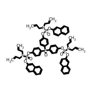 C=CCN(CC=C)P(=O)(Oc1ccc(P(=O)(c2ccc(OP(=O)(Oc3ccc4ccccc4c3)N(CC=C)CC=C)cc2)c2ccc(OP(=O)(Oc3ccc4ccccc4c3)N(CC=C)CC=C)cc2)cc1)Oc1ccc2ccccc2c1